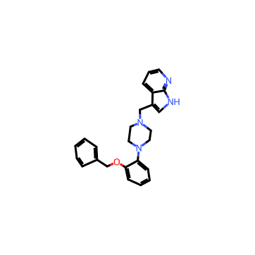 c1ccc(COc2ccccc2N2CCN(Cc3c[nH]c4ncccc34)CC2)cc1